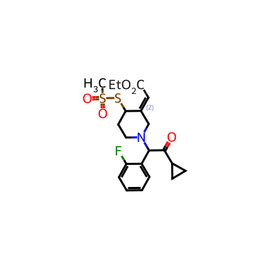 CCOC(=O)/C=C1/CN(C(C(=O)C2CC2)c2ccccc2F)CCC1SS(C)(=O)=O